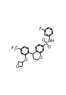 O=S(=O)(Nc1cccc(F)n1)c1ccc2c(c1)OCCC2c1ccc(C(F)(F)F)cc1OC1COC1